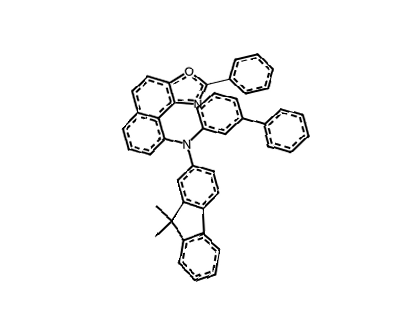 CC1(C)c2ccccc2-c2ccc(N(c3cccc(-c4ccccc4)c3)c3cccc4ccc5oc(-c6ccccc6)nc5c34)cc21